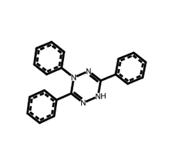 c1ccc(C2=NN(c3ccccc3)C(c3ccccc3)=NN2)cc1